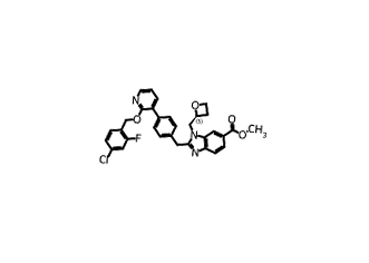 COC(=O)c1ccc2nc(Cc3ccc(-c4cccnc4OCc4ccc(Cl)cc4F)cc3)n(C[C@@H]3CCO3)c2c1